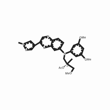 COC[C@](C)(CN(c1cc(OC)cc(OC)c1)c1ccc2ncc(-c3cnn(C)c3)nc2c1)OC(C)=O